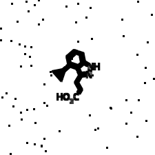 O=C(O)CCc1n[nH]c2cccc(C3CC3)c12